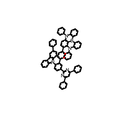 c1ccc(-c2ccc3c(c2)c2ccccc2n3-c2ccc(-c3nc(-c4ccccc4)cc(-c4ccccc4)n3)cc2-c2ccc(-c3ccc4c5c3N(c3ccccc3)c3ccccc3B5c3ccccc3N4c3ccccc3)cc2)cc1